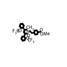 COC(=O)c1ccc(CCn2c(C)c(-c3ccccc3OC(F)(F)F)cc(-c3ccccc3OC(F)(F)F)c2=O)cc1